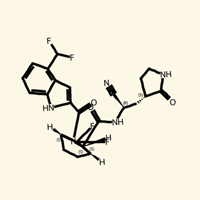 N#C[C@@H](C[C@@H]1CCNC1=O)NC(=O)[C@@H]1[C@@H]2CC[C@@H](CC2(F)F)N1C(=O)c1cc2c(C(F)F)cccc2[nH]1